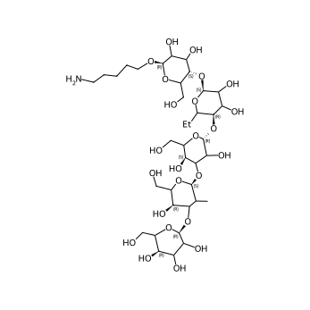 CCC1O[C@@H](O[C@@H]2C(CO)O[C@@H](OCCCCCN)C(O)C2O)C(O)C(O)[C@H]1O[C@H]1OC(CO)[C@H](O)C(O[C@@H]2OC(CO)[C@H](O)C(O[C@@H]3OC(CO)[C@H](O)C(O)C3O)C2C)C1O